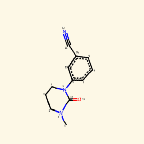 CN1CCCN(c2cccc(C#N)c2)C1=O